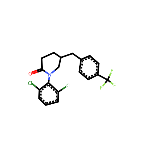 O=C1CCC(Cc2ccc(C(F)(F)F)cc2)CN1c1c(Cl)cccc1Cl